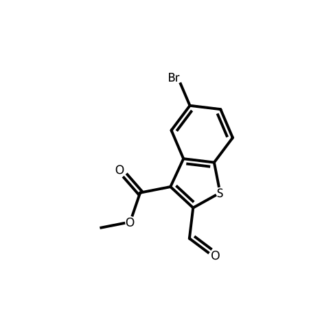 COC(=O)c1c(C=O)sc2ccc(Br)cc12